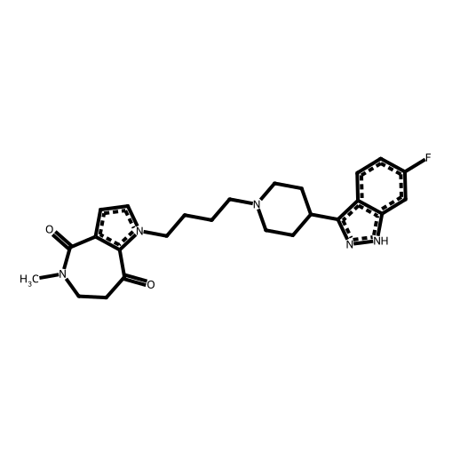 CN1CCC(=O)c2c(ccn2CCCCN2CCC(c3n[nH]c4cc(F)ccc34)CC2)C1=O